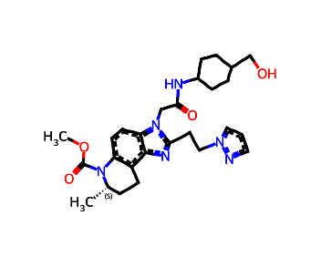 COC(=O)N1c2ccc3c(nc(CCn4cccn4)n3CC(=O)NC3CCC(CO)CC3)c2CC[C@@H]1C